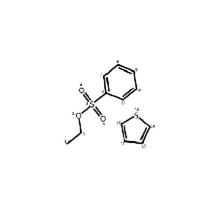 CCOS(=O)(=O)c1ccccc1.c1ccsc1